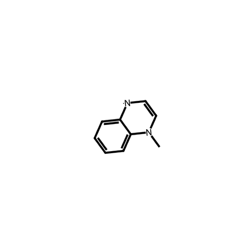 CN1C=C[N]c2ccccc21